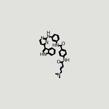 CN(C)C/C=C/C(=O)Nc1ccc(C(=O)Nc2cccc(Nc3nccc(-c4c[nH]c5ccccc45)n3)c2)cc1